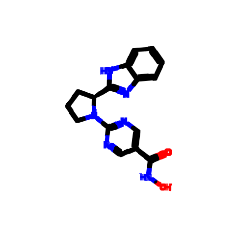 O=C(NO)c1cnc(N2CCC[C@H]2c2nc3ccccc3[nH]2)nc1